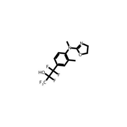 Cc1cc(C(F)(F)C(O)(F)C(F)(F)F)ccc1N(C)C1=NCCO1